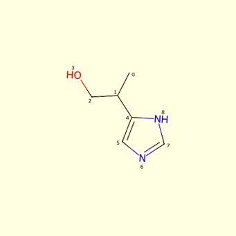 CC(CO)c1cnc[nH]1